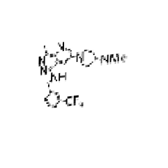 CNC1CCN(c2cnc3c(C)nnc(NCc4cccc(C(F)(F)F)c4)c3c2)CC1